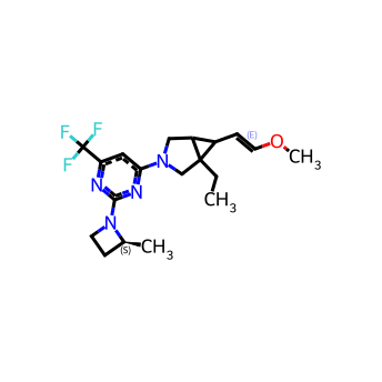 CCC12CN(c3cc(C(F)(F)F)nc(N4CC[C@@H]4C)n3)CC1C2/C=C/OC